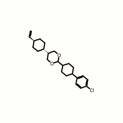 C=C[C@H]1CC[C@H](C2COC(C3CCC(c4ccc(Cl)cc4)CC3)OC2)CC1